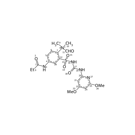 CCC(=O)Nc1ccc([N+](C)(C)C=O)c(S(=O)(=O)NC(=O)Nc2cc(OC)cc(OC)n2)c1